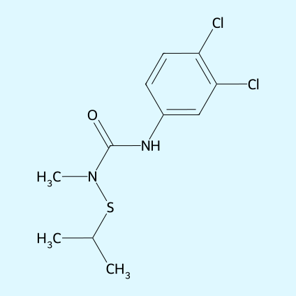 CC(C)SN(C)C(=O)Nc1ccc(Cl)c(Cl)c1